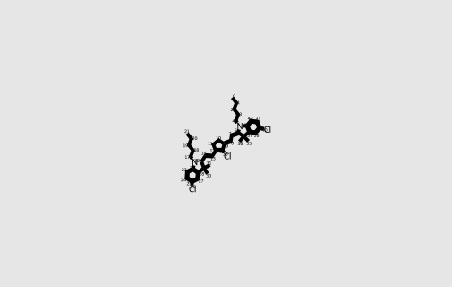 CCCCCN1/C(=C/C=C2\CCC(/C=C/C3=[N+](CCCCC)c4ccc(Cl)cc4C3(C)C)=C2Cl)C(C)(C)c2cc(Cl)ccc21